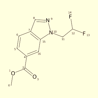 COC(=O)c1ccc2cnn(CC(F)F)c2c1